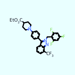 CCOC(=O)C1CCN(c2ccc(-c3c4cccc(C(F)(F)F)c4nn3Cc3c(F)cc(F)cc3F)cc2)CC1